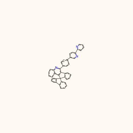 c1ccc(-c2ccc(-c3ccc(-c4nc5ccccc5c5c4-c4ccccc4C54c5ccccc5-c5ccccc54)cc3)cn2)nc1